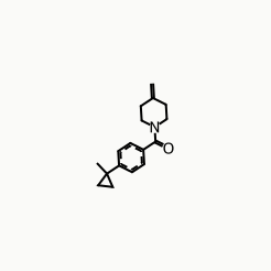 C=C1CCN(C(=O)c2ccc(C3(C)CC3)cc2)CC1